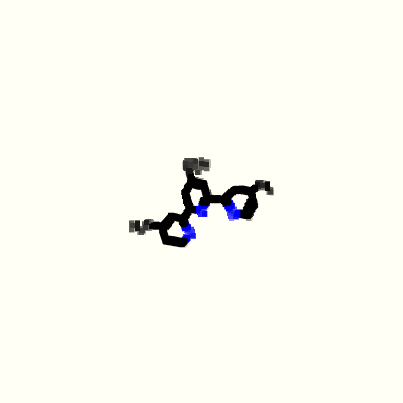 Cc1ccnc(-c2cc(C(=O)O)cc(-c3cc(C)ccn3)n2)c1